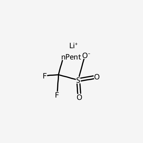 CCCCCC(F)(F)S(=O)(=O)[O-].[Li+]